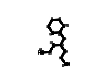 SCSC(CC1SCCCS1)SCS